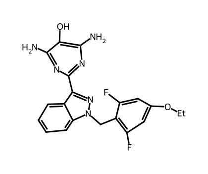 CCOc1cc(F)c(Cn2nc(-c3nc(N)c(O)c(N)n3)c3ccccc32)c(F)c1